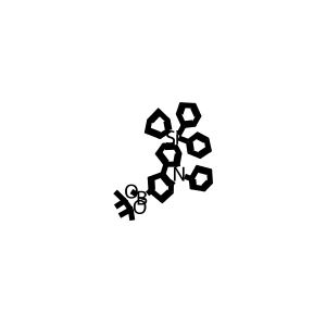 CC1(C)OB(c2ccc3c(c2)c2ccc([Si](c4ccccc4)(c4ccccc4)c4ccccc4)cc2n3-c2ccccc2)OC1(C)C